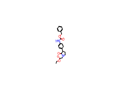 CCOC(=O)CN1CCC(c2ccc(NC(=O)OCc3ccccc3)cc2)C1=O